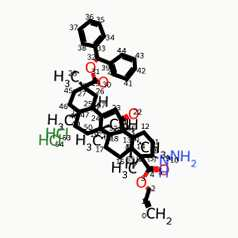 C=CCOC(=O)[C@]1(C)[C@@H](NN)CC[C@@]2(C)[C@H]1CC[C@]1(C)[C@@H]2C(=O)C=C2[C@@H]3C[C@@](C)(C(=O)OC(c4ccccc4)c4ccccc4)CC[C@]3(C)CC[C@]21C.Cl.Cl